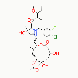 CC[C@H](OC)[C@@H](C)C1OC1C(NCc1ccc(Cl)c(F)c1)C(C)(O)/C=C/C=C(\C)[C@H]1OC(=O)CC(O)CCC(C)(O)[C@@H](OC(C)=O)/C=C/C1C